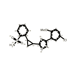 COc1ccc(Cl)cc1-c1noc(C2CC2c2ccccc2S(N)(=O)=O)n1